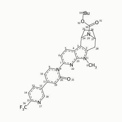 Cn1c2c(c3ccc(-n4ccc(-c5ccc(C(F)(F)F)nc5)cc4=O)nc31)C1CCC(C2)N1C(=O)OC(C)(C)C